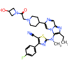 CCc1nc2cnc(C3CCN(CC(=O)N4CC(O)C4)CC3)cn2c1N(C)c1nc(-c2ccc(F)cc2)c(C#N)s1